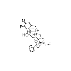 CC1C[C@H]2[C@@H]3CCC4=CC(=O)C(F)=C[C@]4(C)[C@H]3[C@@H](O)C[C@]2(C)[C@@]1(OC(=O)c1ccco1)C(=O)SCF